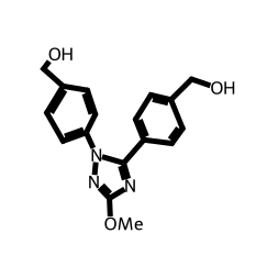 COc1nc(-c2ccc(CO)cc2)n(-c2ccc(CO)cc2)n1